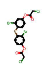 O=C(CCl)Oc1ccc(Sc2ccc(OC(=O)CCl)cc2Br)c(Br)c1